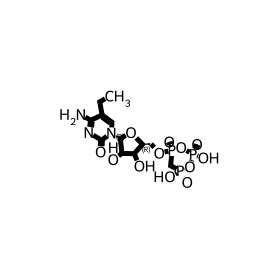 CCc1cn([C@@H]2O[C@H](COP3(=O)CP(=O)(O)OP(=O)(O)O3)C(O)C2O)c(=O)nc1N